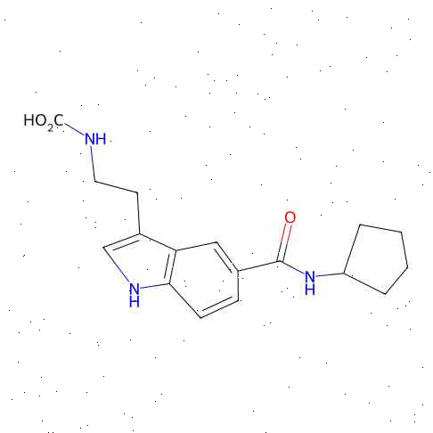 O=C(O)NCCc1c[nH]c2ccc(C(=O)NC3CCCC3)cc12